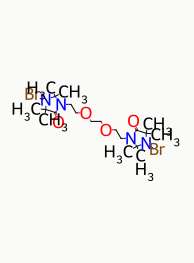 CC1(C)C(=O)N(CCOCCOCCN2C(=O)C(C)(C)N(Br)C2(C)C)C(C)(C)N1Br